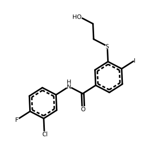 O=C(Nc1ccc(F)c(Cl)c1)c1ccc(I)c(SCCO)c1